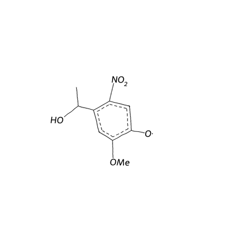 COc1cc(C(C)O)c([N+](=O)[O-])cc1[O]